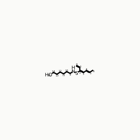 C=C/C(=C\C=C\C)SNCCCCCCO